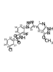 COc1n[nH]c2ncc(-c3cn(-c4cccc(NS(=O)(=O)c5cccc(Cl)c5)c4F)nn3)cc12